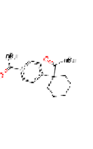 CCCCC(=O)c1ccc(C2(C(=O)CCCC)CCCCC2)cc1